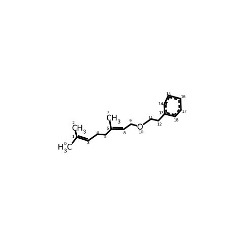 CC(C)=CCC/C(C)=C/COCCc1ccccc1